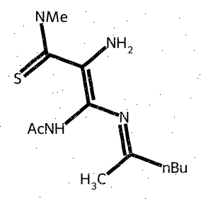 CCCC/C(C)=N/C(NC(C)=O)=C(\N)C(=S)NC